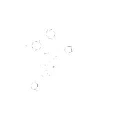 O=C(O)CCc1csc(SC2=C(C(=O)OC(c3ccccc3)c3ccccc3)N3C(=O)[C@@H](NC(=O)Cc4cccs4)[C@H]3SC2)n1.[KH]